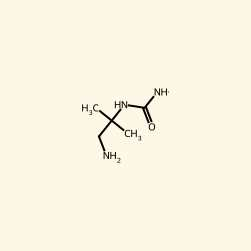 CC(C)(CN)NC([NH])=O